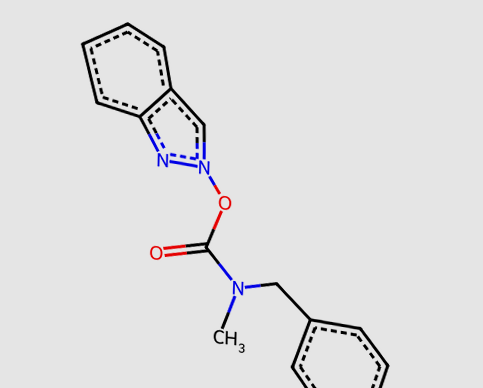 CN(Cc1ccccc1)C(=O)On1cc2ccccc2n1